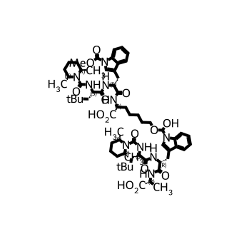 COC(=O)n1cc(C[C@@H](NC(=O)[C@H](CC(C)(C)C)NC(=O)N2[C@H](C)CCC[C@@H]2C)C(=O)N[C@H](CCCCCOC(O)n2cc(C[C@@H](NC(=O)[C@H](CC(C)(C)C)NC(=O)N3[C@H](C)CCC[C@@H]3C)C(=O)N[C@H](C)C(=O)O)c3ccccc32)C(=O)O)c2ccccc21